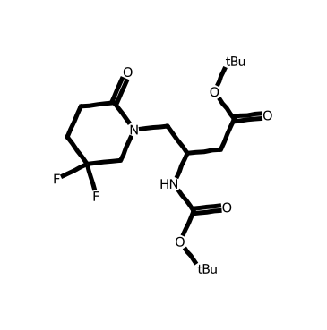 CC(C)(C)OC(=O)CC(CN1CC(F)(F)CCC1=O)NC(=O)OC(C)(C)C